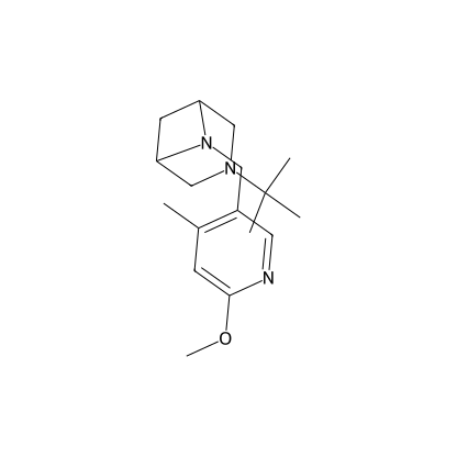 COc1cc(C)c(CN2C3CC2CN(C(C)(C)C)C3)cn1